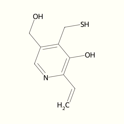 C=Cc1ncc(CO)c(CS)c1O